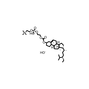 CC[C@H](CC[C@@H](C)[C@H]1CC[C@H]2[C@@H]3CC=C4CC(OC(=O)OCCOP(=O)(O)OCC[N+](C)(C)C)CC[C@]4(C)[C@H]3CC[C@]12C)C(C)C.[OH-]